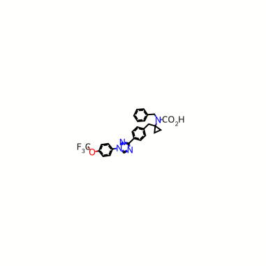 O=C(O)N(Cc1ccccc1)C1(Cc2ccc(-c3ncn(-c4ccc(OC(F)(F)F)cc4)n3)cc2)CC1